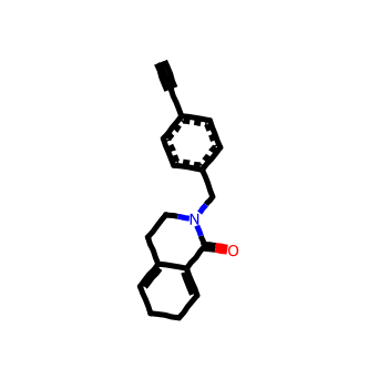 C#Cc1ccc(CN2CCC3=CCCC=C3C2=O)cc1